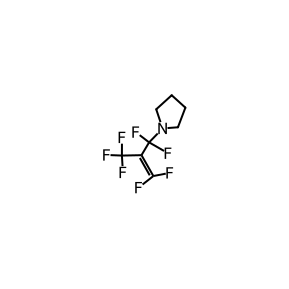 FC(F)=C(C(F)(F)F)C(F)(F)N1CCCC1